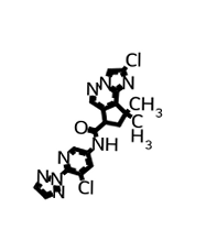 CC1(C)CC(C(=O)Nc2cnc(-n3nccn3)c(Cl)c2)c2cnn3cc(Cl)nc3c21